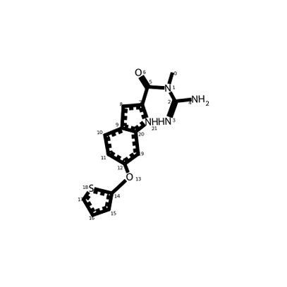 CN(C(=N)N)C(=O)c1cc2ccc(Oc3cccs3)cc2[nH]1